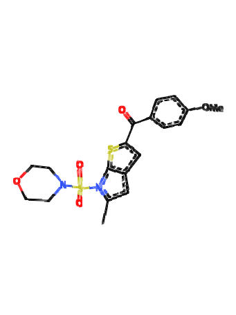 COc1ccc(C(=O)c2cc3cc(C)n(S(=O)(=O)N4CCOCC4)c3s2)cc1